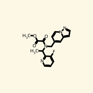 COC(=O)C(=O)N(Cc1ccn2nccc2c1)C(C)c1ncccc1F